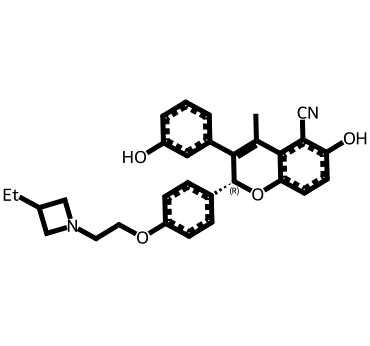 CCC1CN(CCOc2ccc([C@H]3Oc4ccc(O)c(C#N)c4C(C)=C3c3cccc(O)c3)cc2)C1